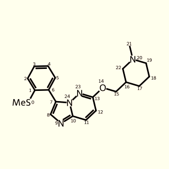 CSc1ccccc1-c1cnc2ccc(OCC3CCCN(C)C3)nn12